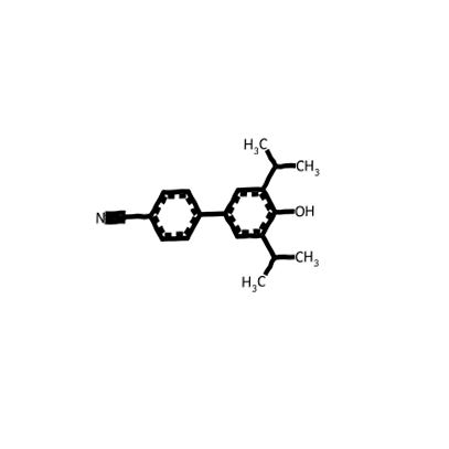 CC(C)c1cc(-c2ccc(C#N)cc2)cc(C(C)C)c1O